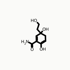 NC(=O)C1=CC(O)(CCO)CC=C1O